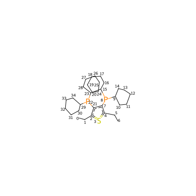 CCc1sc(CC)c(P(C2CCCCC2)C2CCCCC2)c1P(C1CCCCC1)C1CCCCC1